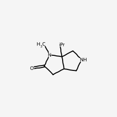 CC(C)C12CNCC1CC(=O)N2C